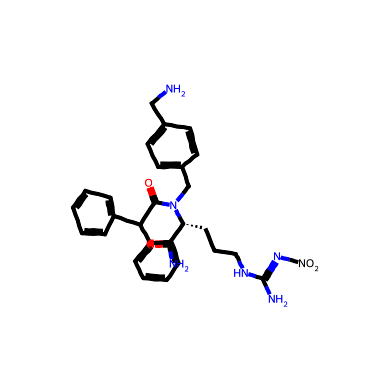 NCc1ccc(CN(C(=O)C(c2ccccc2)c2ccccc2)[C@H](CCCNC(N)=N[N+](=O)[O-])C(N)=O)cc1